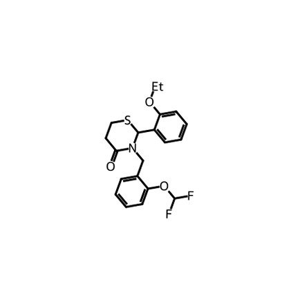 CCOc1ccccc1C1SCCC(=O)N1Cc1ccccc1OC(F)F